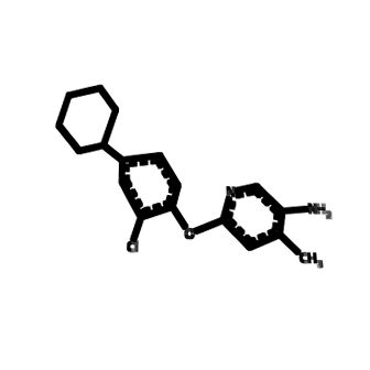 Cc1cc(Oc2ccc(C3CCCCC3)cc2Cl)ncc1N